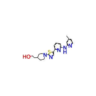 Cc1ccnc(Nc2cccc(-c3cnc(N4CCC(CCO)CC4)s3)n2)c1